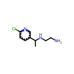 CC(NCCN)c1ccc(Cl)nc1